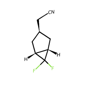 N#CC[C@@H]1C[C@@H]2[C@H](C1)C2(F)F